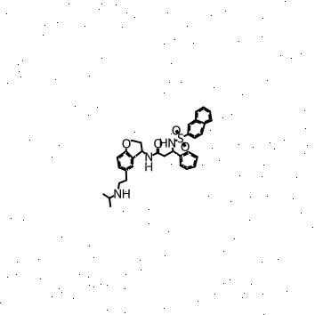 CC(C)NCCc1ccc2c(c1)C(NC(=O)CC(NS(=O)(=O)c1ccc3ccccc3c1)c1ccccc1)CCO2